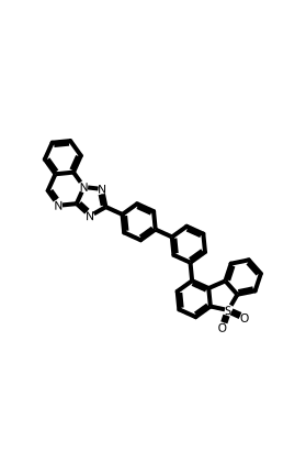 O=S1(=O)c2ccccc2-c2c(-c3cccc(-c4ccc(-c5nc6ncc7ccccc7n6n5)cc4)c3)cccc21